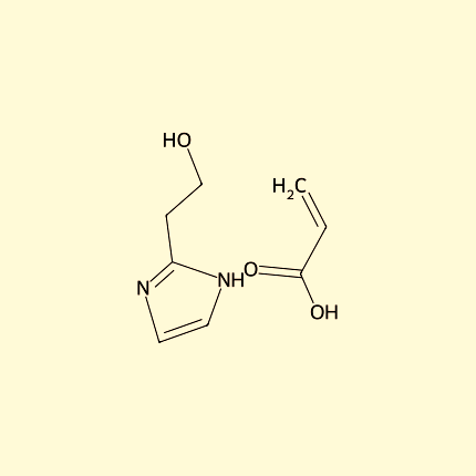 C=CC(=O)O.OCCc1ncc[nH]1